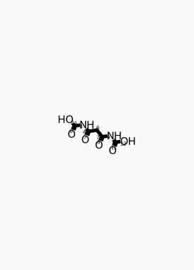 O=C(O)NC(=O)CC(=O)NC(=O)O